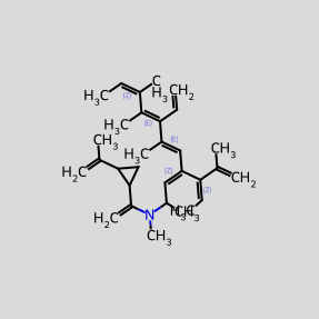 C=CC(/C(C)=C/C(=C/C(C)N(C)C(=C)C1CC1C(=C)C)C(=C\C)/C(=C)C)=C(C)\C(C)=C/C